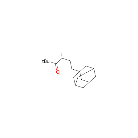 C[C@H](CCC12CC3CC(CC(C3)C1)C2)C(=O)C(C)(C)C